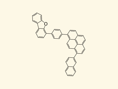 c1ccc2cc(-c3ccc4ccc5ccc(-c6ccc(-c7cccc8c7oc7ccccc78)cc6)c6ccc3c4c56)ccc2c1